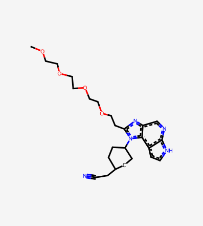 COCCOCCOCCOCCc1nc2cnc3[nH]ccc3c2n1C1CCC(CC#N)CC1